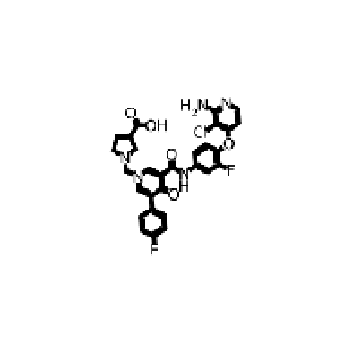 Nc1nccc(Oc2ccc(NC(=O)c3cn(CN4CCC(C(=O)O)C4)cc(-c4ccc(F)cc4)c3=O)cc2F)c1Cl